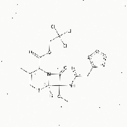 COC1(NC(=O)Cc2cccs2)C(=O)N2C(C(=O)OCC(Cl)(Cl)Cl)C(C)=CS[C@@H]21